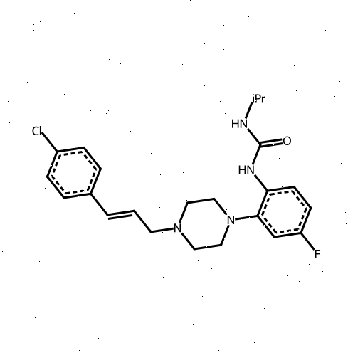 CC(C)NC(=O)Nc1ccc(F)cc1N1CCN(C/C=C/c2ccc(Cl)cc2)CC1